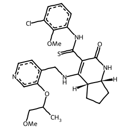 COCC(C)Oc1cnccc1CNC1=C(C(=S)Nc2cccc(Cl)c2OC)C(=O)N[C@@H]2CCC[C@H]12